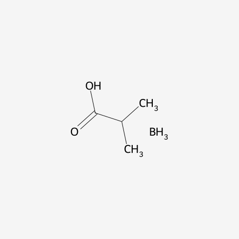 B.CC(C)C(=O)O